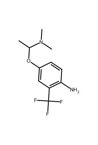 CC(Oc1ccc(N)c(C(F)(F)F)c1)N(C)C